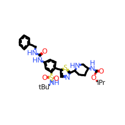 CC(C)OC(=O)NC1CCC(c2ncc(-c3ccc(NC(=O)NCc4ccccc4)cc3S(=O)(=O)NC(C)(C)C)s2)NC1